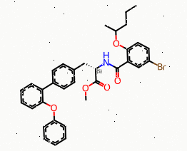 CCCC(C)Oc1ccc(Br)cc1C(=O)N[C@@H](Cc1ccc(-c2ccccc2Oc2ccccc2)cc1)C(=O)OC